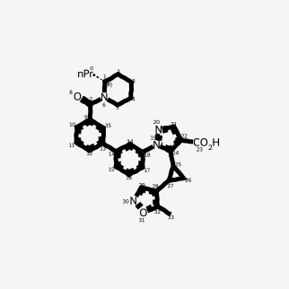 CCC[C@@H]1CCCCN1C(=O)c1cccc(-c2cccc(-n3ncc(C(=O)O)c3C3CC3c3cnoc3C)c2)c1